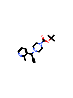 C#CC(c1cccnc1C)N1CCN(C(=O)OC(C)(C)C)CC1